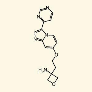 NC1(CCOc2ccn3c(-c4ccncn4)cnc3c2)COC1